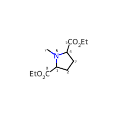 CCOC(=O)C1CCC(C(=O)OCC)N1C